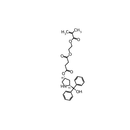 C=C(C)C(=O)OCCOC(=O)CCC(=O)O[C@H]1CN[C@H](C(O)(c2ccccc2)c2ccccc2)C1